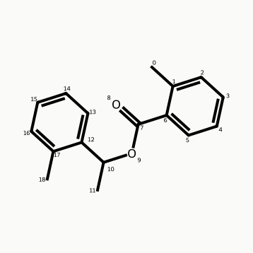 Cc1ccccc1C(=O)OC(C)c1ccccc1C